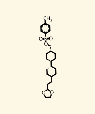 Cc1ccc(S(=O)(=O)OC[C@H]2CC[C@H]([C@H]3CC[C@H](CCC4OCCO4)CC3)CC2)cc1